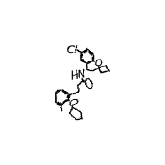 Cc1cccc(CCC(=O)N[C@H]2CC3(CCC3)Oc3ccc(Cl)cc32)c1OC1CCCC1